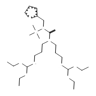 CCOC(OCC)[SiH2]CCCN(CCC[SiH2]C(OCC)OCC)C(=O)N(Cc1ccco1)[Si](C)(C)C